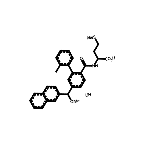 COC(c1ccc(C(=O)NC(CCSC)C(=O)O)c(-c2ccccc2C)c1)c1ccc2ccccc2c1.[LiH]